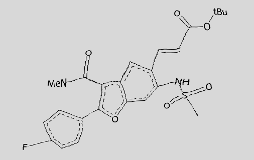 CNC(=O)c1c(-c2ccc(F)cc2)oc2cc(NS(C)(=O)=O)c(/C=C/C(=O)OC(C)(C)C)cc12